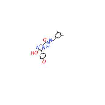 COc1ccc(-c2nc(C(=O)N/N=C/c3cc(C)cc(C)c3)cnc2O)cc1